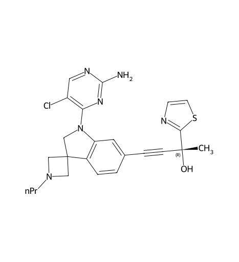 CCCN1CC2(C1)CN(c1nc(N)ncc1Cl)c1cc(C#C[C@@](C)(O)c3nccs3)ccc12